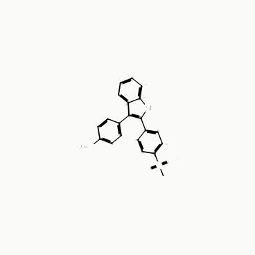 COc1ccc(-c2c(-c3ccc(S(C)(=O)=O)cc3)[nH]c3ccccc23)cc1